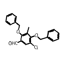 Cc1c(OCc2ccccc2)c(Cl)cc(C=O)c1OCc1ccccc1